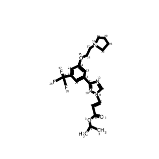 CC(C)OC(=O)C=Cn1cnc(-c2cc(OCCN3CCCC3)cc(C(F)(F)F)c2)n1